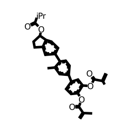 C=C(C)C(=O)Oc1ccc(-c2ccc(-c3ccc4c(c3)CCC4OC(=O)C(C)C)c(C)c2)cc1OC(=O)C(=C)C